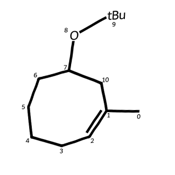 CC1=CCCCCC(OC(C)(C)C)C1